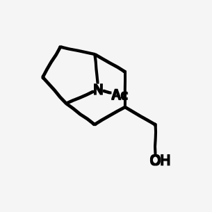 CC(=O)N1C2CCC1CC(CO)C2